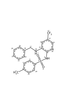 Cc1ccc(S(=O)(=O)Nc2ncc(C(F)(F)F)cc2NCc2ccccc2)cc1